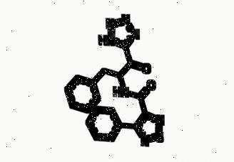 O=C(NC(Cc1ccccc1)C(=O)c1nnn[nH]1)c1nsnc1-c1ccccc1